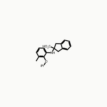 Cc1cccc(NC2(C(=O)O)Cc3ccccc3C2)c1OC(C)C